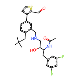 CC(=O)NC(Cc1cc(F)cc(F)c1)C(O)CNCc1cc(-c2ccsc2C=O)ccc1CC(C)(C)C